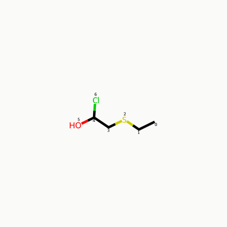 CCSCC(O)Cl